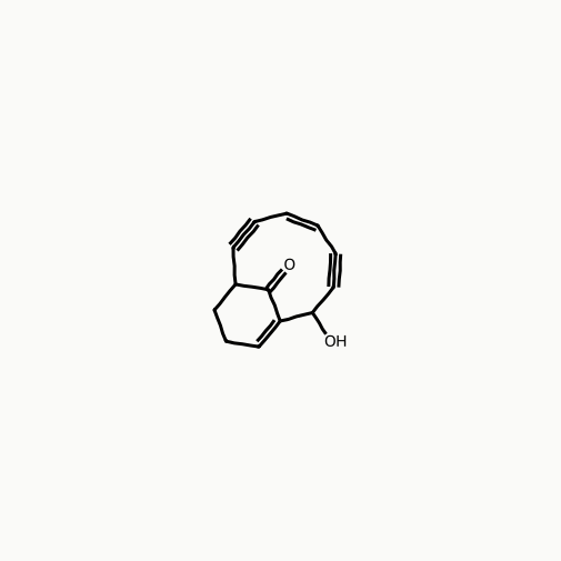 O=C1C2=CCCC1C#C/C=C\C#CC2O